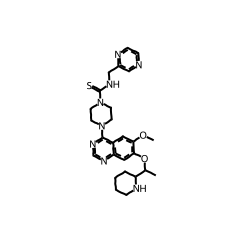 COc1cc2c(N3CCN(C(=S)NCc4cnccn4)CC3)ncnc2cc1OC(C)C1CCCCN1